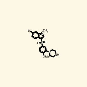 COc1ccc(S(=O)(=O)c2cn(C)c3cc(Br)ccc23)cc1N1CCNCC1